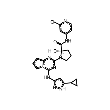 C[C@@]1(C(=O)Nc2ccnc(Cl)c2)CCCN1c1nc(Nc2cc(C3CC3)[nH]n2)n2cccc2n1